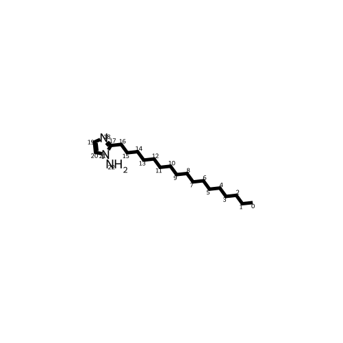 CCCCCCCCCCCCCCCCCc1nccn1N